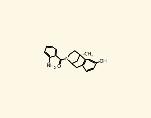 C[C@]12CCN(C(=O)c3ccccc3N)C(Cc3ccc(O)cc31)C2